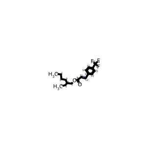 CCCCC(CC)COC(=O)/C=C/c1ccc(C(F)(F)F)cc1